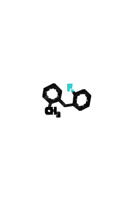 Cc1ccccc1Cc1ccccc1F